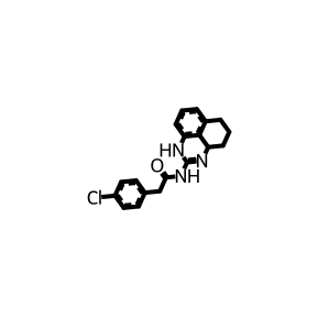 O=C(Cc1ccc(Cl)cc1)NC1=NC2CCCc3cccc(c32)N1